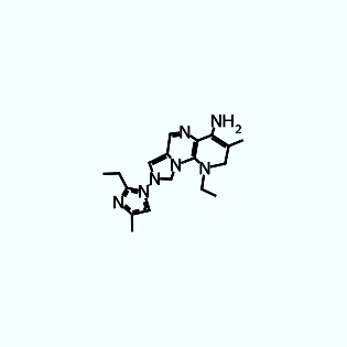 CCc1nc(C)cn1N1C=C2C=NC3=C(N(CC)CC(C)=C3N)N2C1